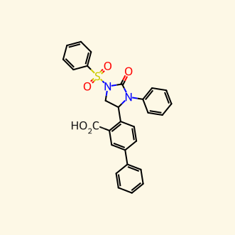 O=C(O)c1cc(-c2ccccc2)ccc1C1CN(S(=O)(=O)c2ccccc2)C(=O)N1c1ccccc1